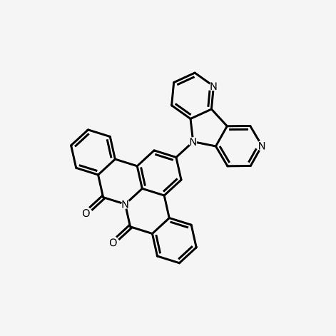 O=c1c2ccccc2c2cc(-n3c4ccncc4c4ncccc43)cc3c4ccccc4c(=O)n1c23